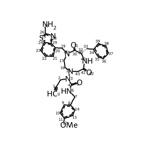 C#CCN(C(=O)NCc1ccc(OC)cc1)N1CCN(Cc2cccc3sc(N)nc23)C(=O)[C@H](Cc2ccccc2)NC(=O)C1